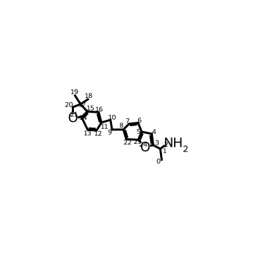 CC(N)c1cc2ccc(CCc3ccc4c(c3)C(C)(C)CO4)cc2o1